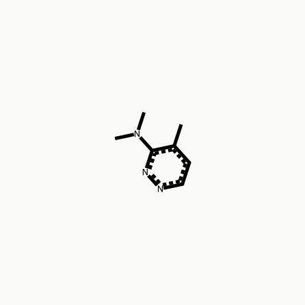 Cc1ccnnc1N(C)C